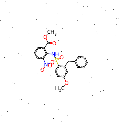 COC(=O)c1cccc([N+](=O)[O-])c1NS(=O)(=O)c1ccc(OC)cc1Cc1ccccc1